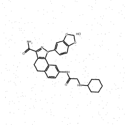 Cl.NC(=O)c1nn(-c2ccc3c(c2)OCO3)c2c1CCc1ccc(NC(=O)CNC3CCCCC3)cc1-2